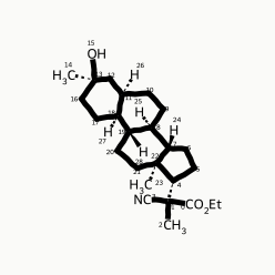 CCOC(=O)C(C)(C#N)[C@H]1CC[C@H]2[C@@H]3CC[C@@H]4C[C@](C)(O)CC[C@@H]4[C@H]3CC[C@]12C